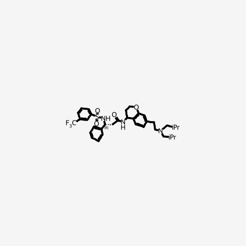 CC(C)CN(CCc1ccc2c(c1)OCCC2NC(=O)C[C@@H](NS(=O)(=O)c1cccc(C(F)(F)F)c1)c1ccccc1)CC(C)C